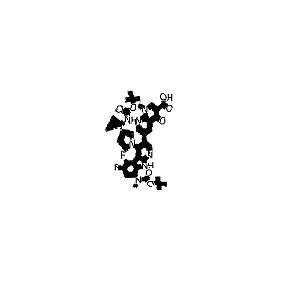 CN(C(=O)OC(C)(C)C)c1cc(F)c(F)c2c1[nH]c1ncc(-c3cnc4c(c3)c(=O)c(C(=O)O)cn4C)c(N3CC[C@H](C4(NC(=O)OC(C)(C)C)CC4)C3)c12